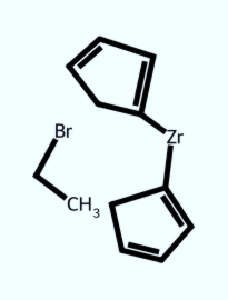 C1=CC[C]([Zr][C]2=CC=CC2)=C1.CCBr